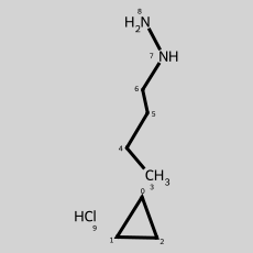 C1CC1.CCCCNN.Cl